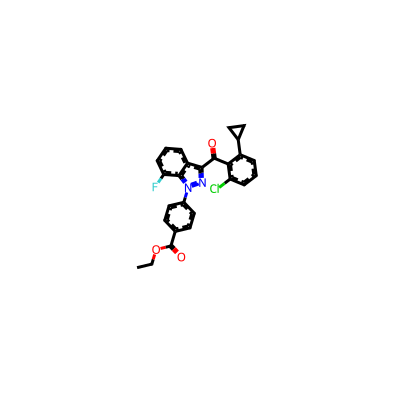 CCOC(=O)c1ccc(-n2nc(C(=O)c3c(Cl)cccc3C3CC3)c3cccc(F)c32)cc1